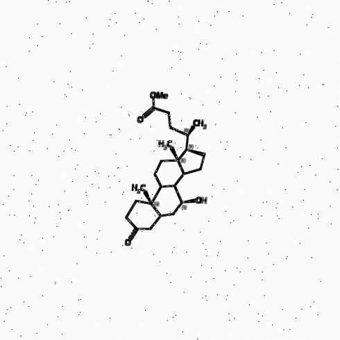 COC(=O)CC[C@@H](C)[C@H]1CCC2C3C(CC[C@@]21C)[C@@]1(C)CCC(=O)CC1C[C@@H]3O